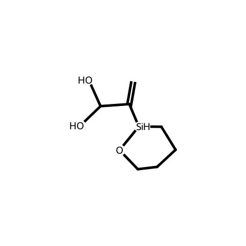 C=C(C(O)O)[SiH]1CCCCO1